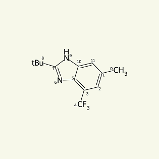 Cc1cc(C(F)(F)F)c2nc(C(C)(C)C)[nH]c2c1